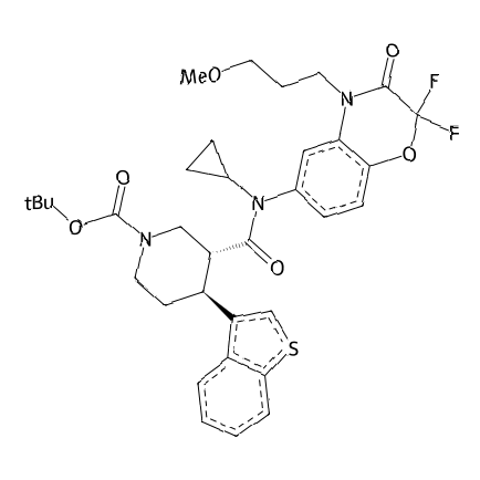 COCCCN1C(=O)C(F)(F)Oc2ccc(N(C(=O)[C@H]3CN(C(=O)OC(C)(C)C)CC[C@@H]3c3csc4ccccc34)C3CC3)cc21